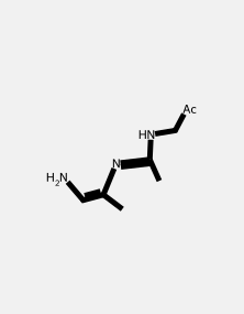 CC(=O)CN/C(C)=N/C(C)=C\N